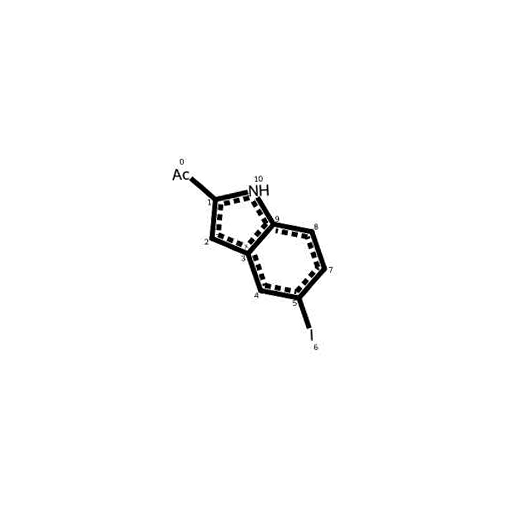 CC(=O)c1cc2cc(I)ccc2[nH]1